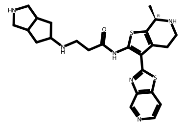 C[C@H]1NCCc2c1sc(NC(=O)CCNC1CC3CNCC3C1)c2-c1nc2cnccc2s1